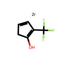 OC1=C(C(F)(F)F)C=CC1.[Zr]